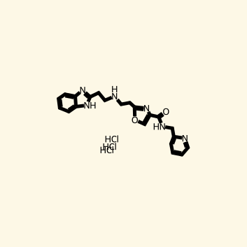 Cl.Cl.Cl.O=C(NCc1ccccn1)c1coc(CCNCCc2nc3ccccc3[nH]2)n1